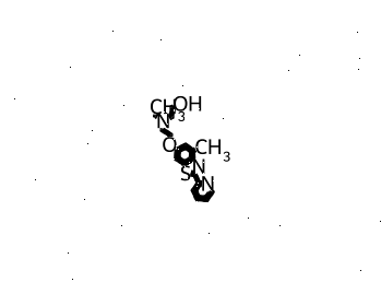 CCN(CCO)CCOc1cc(C)c2nc(-c3ccccn3)sc2c1